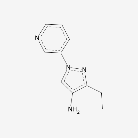 CCc1nn(-c2cccnc2)cc1N